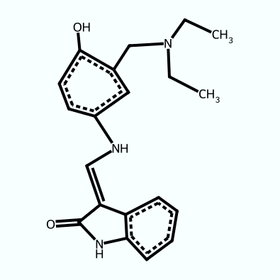 CCN(CC)Cc1cc(N/C=C2/C(=O)Nc3ccccc32)ccc1O